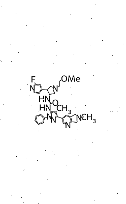 COCCN1CC(NC(=O)Nc2c(C)c(-c3cnc4c(c3)CN(C)C4)nn2-c2ccccc2)C(c2ccnc(F)c2)C1